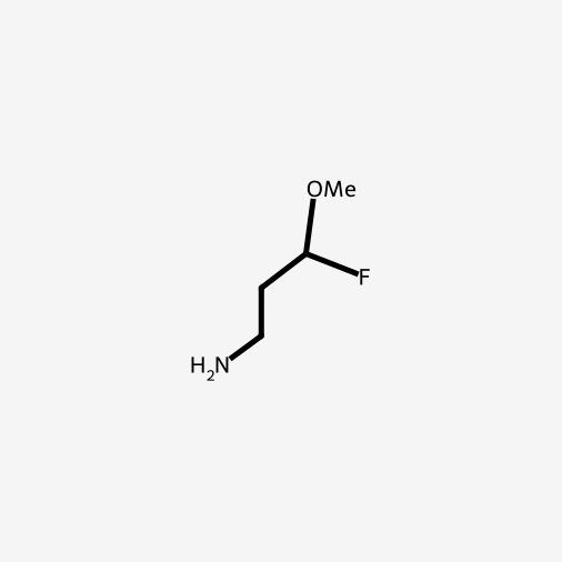 COC(F)CCN